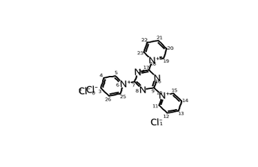 [Cl-].[Cl-].[Cl-].c1cc[n+](-c2nc(-[n+]3ccccc3)nc(-[n+]3ccccc3)n2)cc1